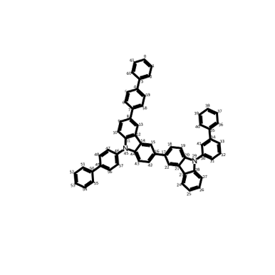 c1ccc(-c2ccc(-c3ccc4c(c3)c3cc(-c5ccc6c(c5)c5ccccc5n6-c5cccc(-c6ccccc6)c5)ccc3n4-c3ccc(-c4ccccc4)cc3)cc2)cc1